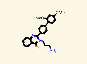 COc1ccc(-c2ccc(-c3nc4ccccc4c(=O)n3CCCN)cc2)c(OC)c1